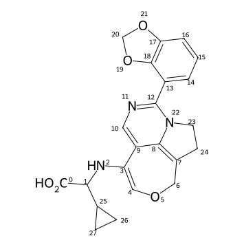 O=C(O)C(NC1=COCC2=C3C1=CN=C(c1cccc4c1OCO4)N3CC2)C1CC1